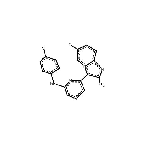 Fc1ccc(Nc2cncc(-c3c(C(F)(F)F)nc4ccc(F)cn34)n2)cc1